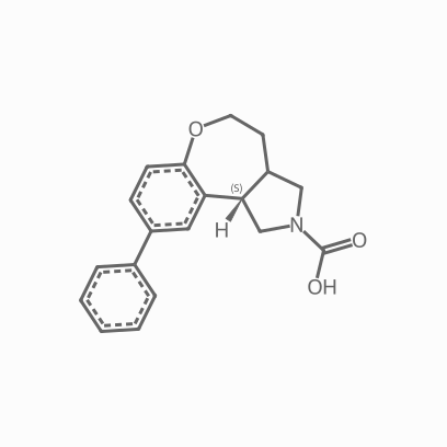 O=C(O)N1CC2CCOc3ccc(-c4ccccc4)cc3[C@H]2C1